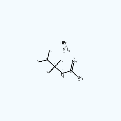 Br.CC(C)C(C)(C)NC(=N)N.N